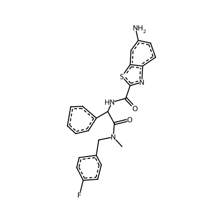 CN(Cc1ccc(F)cc1)C(=O)C(NC(=O)c1nc2ccc(N)cc2s1)c1ccccc1